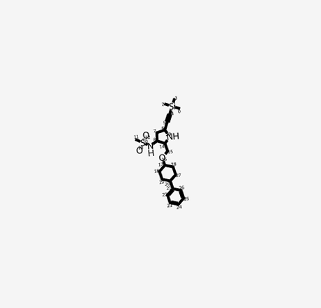 C[Si](C)(C)C#CC1CC(NS(C)(=O)=O)C(COC2CCC(c3ccccc3)CC2)N1